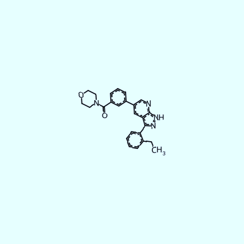 CCc1ccccc1-c1n[nH]c2ncc(-c3cccc(C(=O)N4CCOCC4)c3)cc12